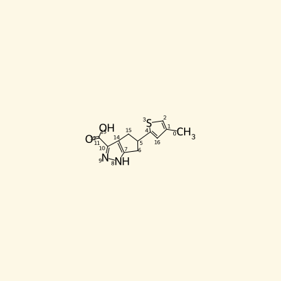 Cc1csc(C2Cc3[nH]nc(C(=O)O)c3C2)c1